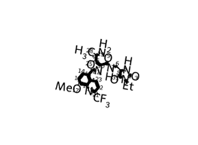 CCN1C(=O)N[C@H](CNC(=O)c2nc(-c3ccc(OC)c4nc(C(F)(F)F)ccc34)oc2[C@H](C)N)C1=O